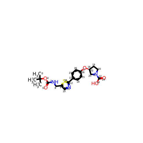 CC(C)(C)OC(=O)NCc1cnc(-c2ccc(O[C@H]3CCN(C(=O)O)C3)cc2)s1